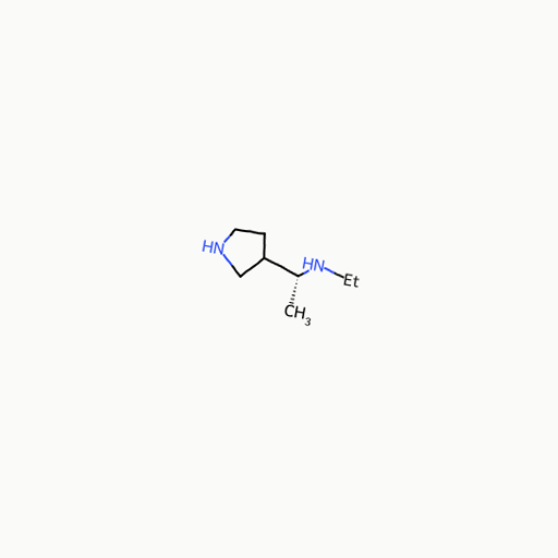 CCN[C@H](C)C1CCNC1